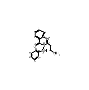 NCCc1nc2ccccc2c(=O)n1Nc1ccccc1